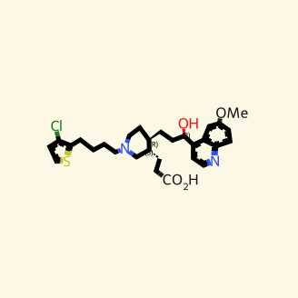 COc1ccc2nccc([C@H](O)CC[C@@H]3CCN(CCCCc4sccc4Cl)C[C@H]3CCC(=O)O)c2c1